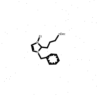 CCCCCCCCCCCCCC1N(CC)C=CN1Cc1ccccc1